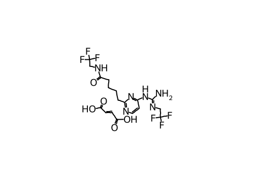 NC(=NCC(F)(F)F)Nc1ccnc(CCCCC(=O)NCC(F)(F)F)n1.O=C(O)C=CC(=O)O